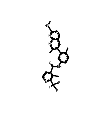 CNc1ncc2cc(-c3cc(NC(=O)c4ccnc(C(F)(F)F)c4C)ccc3C)c(C)nc2n1